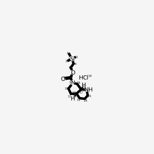 C[Si](C)(C)CCOC(=O)N1CC[C@H]2CCCN[C@H]2C1.Cl